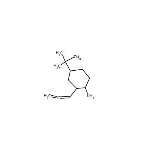 C=C=CC1CC(C(C)(C)C)CCC1C